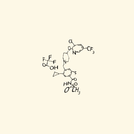 CS(=O)(=O)NC(=O)c1cc(C2CC2)c(CN2CCC(Oc3ncc(C(F)(F)F)cc3Cl)CC2)cc1F.O=C(O)C(F)(F)F